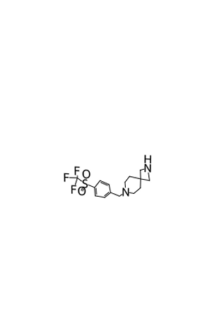 O=S(=O)(c1ccc(CN2CCC3(CC2)CNC3)cc1)C(F)(F)F